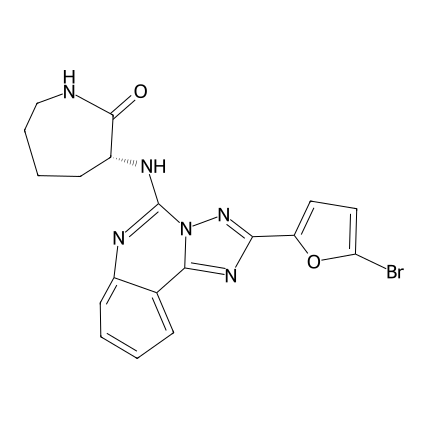 O=C1NCCCC[C@H]1Nc1nc2ccccc2c2nc(-c3ccc(Br)o3)nn12